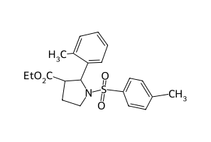 CCOC(=O)C1CCN(S(=O)(=O)c2ccc(C)cc2)C1c1ccccc1C